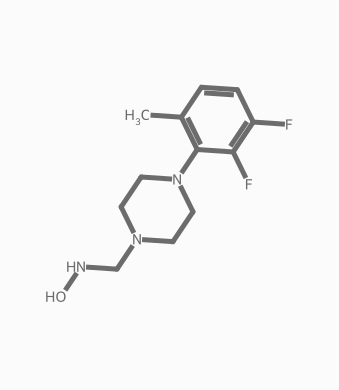 Cc1ccc(F)c(F)c1N1CCN(CNO)CC1